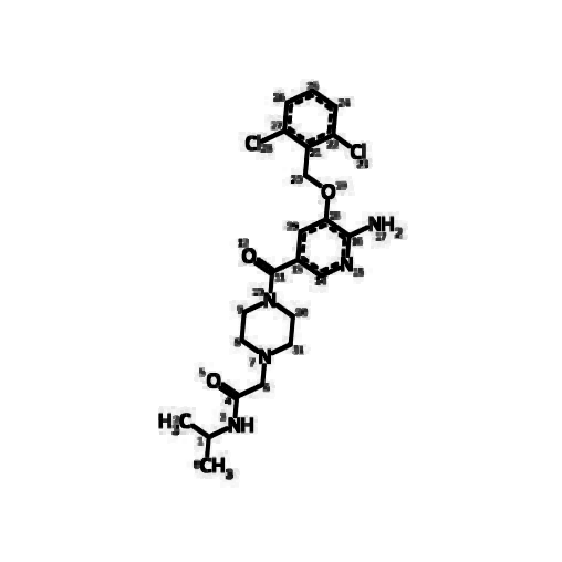 CC(C)NC(=O)CN1CCN(C(=O)c2cnc(N)c(OCc3c(Cl)cccc3Cl)c2)CC1